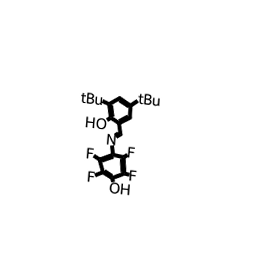 CC(C)(C)c1cc(C=Nc2c(F)c(F)c(O)c(F)c2F)c(O)c(C(C)(C)C)c1